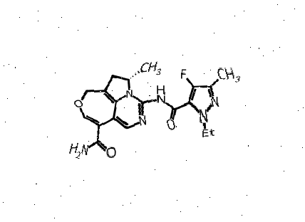 CCn1nc(C)c(F)c1C(=O)NC1=NC=C2C(C(N)=O)=COCC3=C2N1[C@@H](C)C3